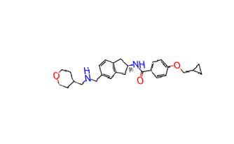 O=C(N[C@@H]1Cc2ccc(CNCC3CCOCC3)cc2C1)c1ccc(OCC2CC2)cc1